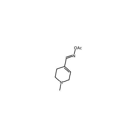 CC(=O)O/N=C/C1=CCN(C)CC1